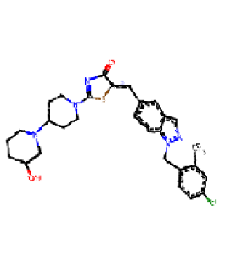 O=C1N=C(N2CCC(N3CCCC(O)C3)CC2)S/C1=C\c1ccc2c(cnn2Cc2ccc(Cl)cc2C(F)(F)F)c1